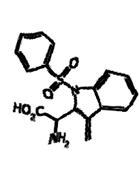 C=C1c2ccccc2N(S(=O)(=O)c2ccccc2)C1C(N)C(=O)O